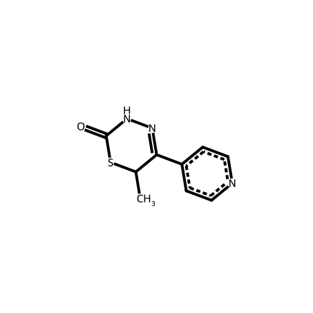 CC1SC(=O)NN=C1c1ccncc1